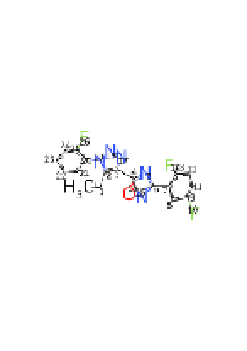 CCc1c(-c2nc(-c3cc(F)ccc3F)no2)nnn1-c1ccccc1F